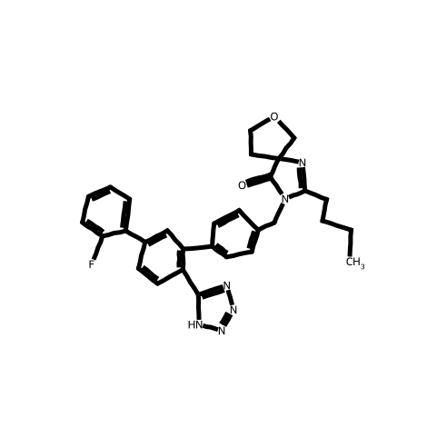 CCCCC1=NC2(CCOC2)C(=O)N1Cc1ccc(-c2cc(-c3ccccc3F)ccc2-c2nnn[nH]2)cc1